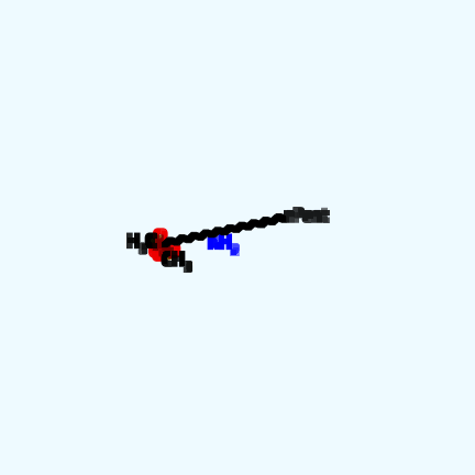 CCCCC/C=C/C/C=C/CCCCCCCC(N)CCCCCCCC(S(C)(=O)=O)S(C)(=O)=O